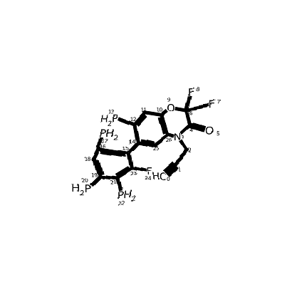 C#CCN1C(=O)C(F)(F)Oc2cc(P)c(-c3c(P)cc(P)c(P)c3F)cc21